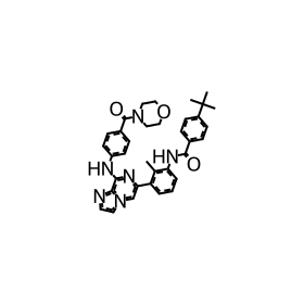 Cc1c(NC(=O)c2ccc(C(C)(C)C)cc2)cccc1-c1cn2ccnc2c(Nc2ccc(C(=O)N3CCOCC3)cc2)n1